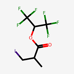 CC(CI)C(=O)OC(C(F)(F)F)C(F)(F)F